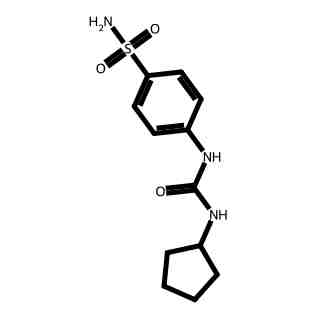 NS(=O)(=O)c1ccc(NC(=O)NC2CCCC2)cc1